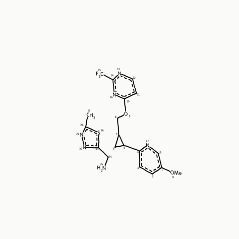 COc1ccc(C2CC2COc2ccnc(C(F)(F)F)n2)nc1.Cc1nnc(CN)s1